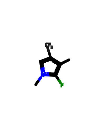 Cc1c(C(F)(F)F)cn(C)c1F